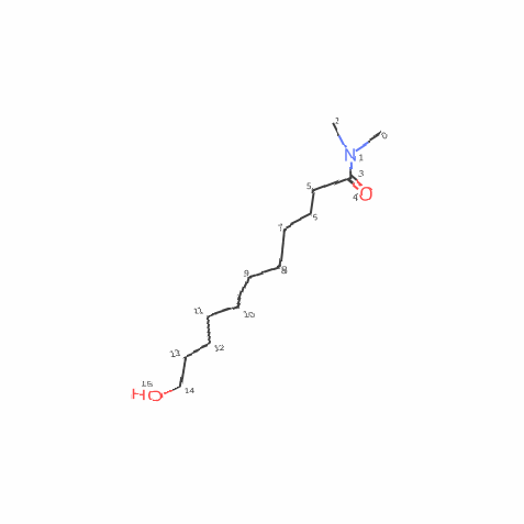 CN(C)C(=O)CCCCCCCCCCO